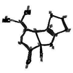 N#CC(C#N)=C1CC(=O)[C@H]2SC3=C(SCC3)C12